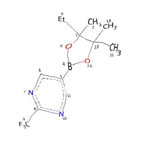 CCC1(C)OB(c2cnc(C(F)(F)F)nc2)OC1(C)C